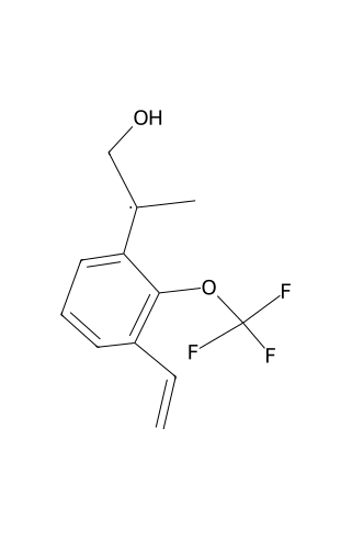 C=Cc1cccc([C](C)CO)c1OC(F)(F)F